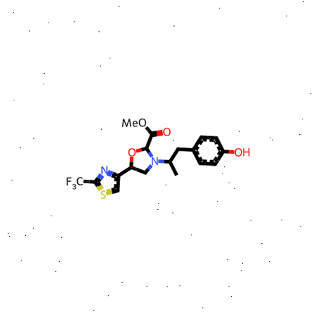 COC(=O)C1OC(c2csc(C(F)(F)F)n2)CN1C(C)Cc1ccc(O)cc1